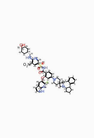 CC(C)c1ccccc1[C@H]1CCC[C@H]1N1CC2(CCN(c3ccc(C(=O)NS(=O)(=O)c4cnc(NC[C@H]5CC[C@](C)(O)CC5)c([N+](=O)[O-])c4)c(Oc4cc5cc[nH]c5nc4F)c3)CC2)C1